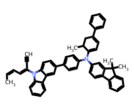 C#C/C(=C\C=C/C)n1c2ccccc2c2cc(-c3ccc(N(C4=CC=C(c5ccccc5)CC4C)c4ccc5c(c4)C(C)(C)c4ccccc4-5)cc3)ccc21